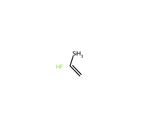 C=C[SiH3].F